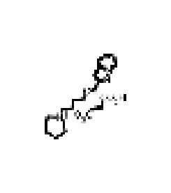 O=C(O)C=CC(=O)O.c1ccn2nc(COCCCCN3CCCCCC3)cc2c1